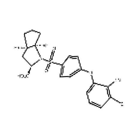 N#Cc1c(Cl)cccc1Oc1ccc(S(=O)(=O)N2[C@@H](C(=O)O)C[C@H]3CCC[C@H]32)cc1